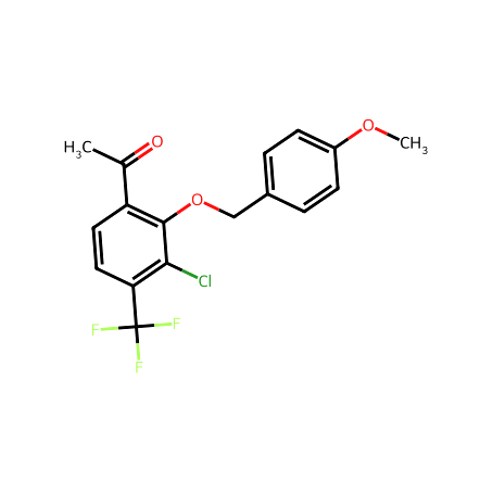 COc1ccc(COc2c(C(C)=O)ccc(C(F)(F)F)c2Cl)cc1